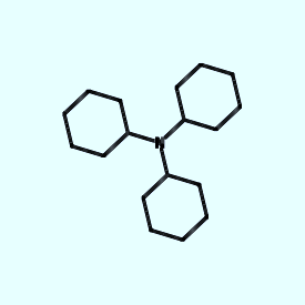 C1CCC(N(C2CCCCC2)C2CCCCC2)CC1